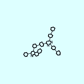 c1ccc(-c2ccc(-c3cc(-c4ccc(-c5cccc(-c6cc(-c7ccccc7)nc7ccc8ccccc8c67)c5)cc4)nc(-c4ccc(-c5ccccc5)cc4)n3)cc2)cc1